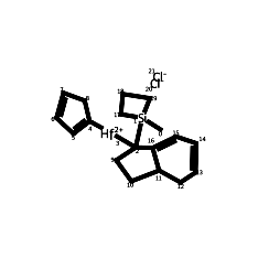 C[Si]1([C]2([Hf+2][C]3=CC=CC3)CCC3CC=CC=C32)CCC1.[Cl-].[Cl-]